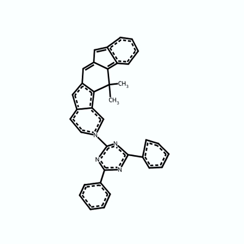 CC1(C)C2=c3ccccc3=CC2=Cc2cc3ccn(-c4nc(-c5ccccc5)nc(-c5ccccc5)n4)cc-3c21